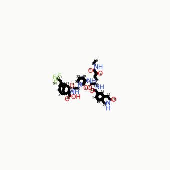 CCNC(=O)C(=O)CC[C@H](NC(=O)c1ccc2c(c1)CC(=O)NC2)C(=O)Nc1cccn(CC(=O)NC2(C(=O)O)CC3CCCCC2CC3CCC(F)(F)F)c1=O